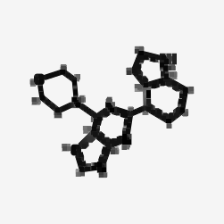 c1cc(-c2nc(N3CCOCC3)c3ocnc3n2)c2cc[nH]c2c1